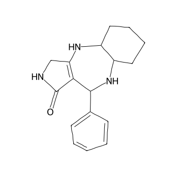 O=C1NCC2=C1C(c1ccccc1)NC1CCCCC1N2